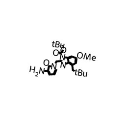 COc1cc(CC(C)(C)C)c2nc(Cn3cccc(N)c3=O)n(C(=O)OC(C)(C)C)c2c1